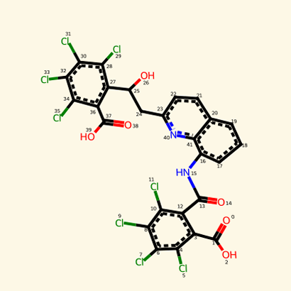 O=C(O)c1c(Cl)c(Cl)c(Cl)c(Cl)c1C(=O)Nc1cccc2ccc(CC(O)c3c(Cl)c(Cl)c(Cl)c(Cl)c3C(=O)O)nc12